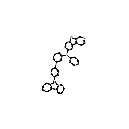 c1ccc(N(c2cccc(-c3ccc(-n4c5ccccc5c5ccccc54)cc3)c2)c2ccc3oc4cnccc4c3c2)cc1